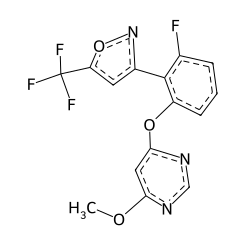 COc1cc(Oc2cccc(F)c2-c2cc(C(F)(F)F)on2)ncn1